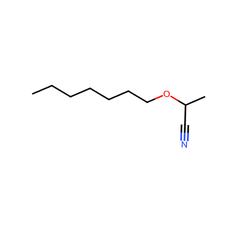 CCCCCCCOC(C)C#N